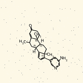 CC1C[C@H]2C3=CC=C(c4cncc(N)c4)[C@@]3(C)CC[C@@H]2[C@@]2(C)CCC(=O)C=C12